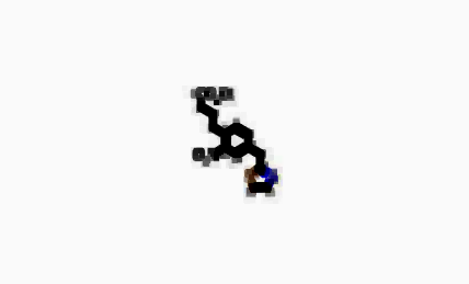 CCOC(=O)CCCc1ccc(Cc2nccs2)cc1[N+](=O)[O-]